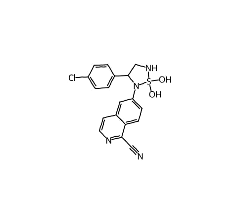 N#Cc1nccc2cc(N3C(c4ccc(Cl)cc4)CNS3(O)O)ccc12